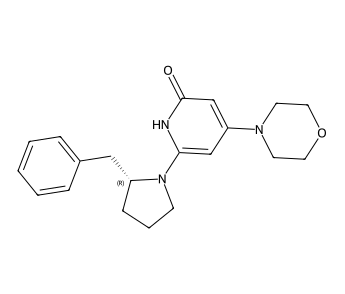 O=c1cc(N2CCOCC2)cc(N2CCC[C@@H]2Cc2ccccc2)[nH]1